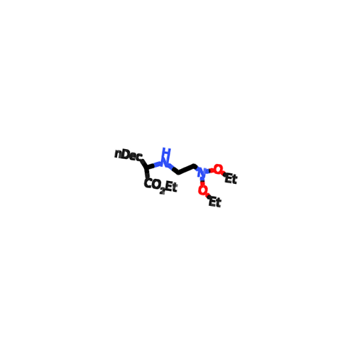 CCCCCCCCCCC(NCCN(OCC)OCC)C(=O)OCC